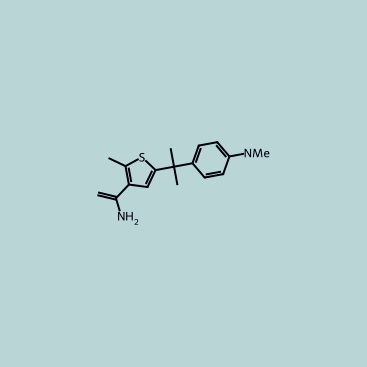 C=C(N)c1cc(C(C)(C)c2ccc(NC)cc2)sc1C